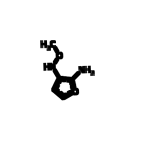 CONc1ccoc1N